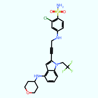 NS(=O)(=O)c1ccc(NCC#Cc2cc3c(NC4CCOCC4)cccc3n2CC(F)(F)F)cc1Cl